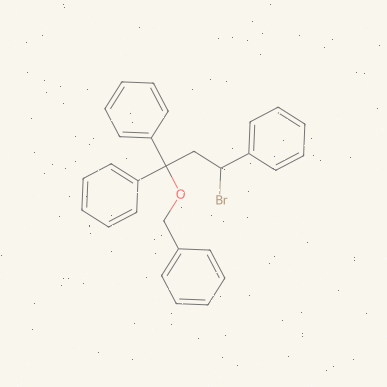 BrC(CC(OCc1ccccc1)(c1ccccc1)c1ccccc1)c1ccccc1